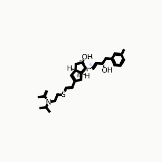 Cc1cccc(C[C@H](O)/C=C/[C@@H]2[C@H]3CC(CCSCCN(C(C)C)C(C)C)=C[C@H]3C[C@H]2O)c1